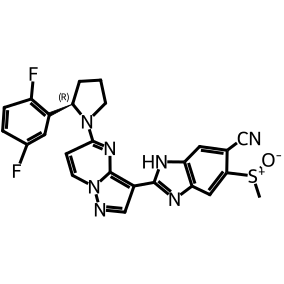 C[S+]([O-])c1cc2nc(-c3cnn4ccc(N5CCC[C@@H]5c5cc(F)ccc5F)nc34)[nH]c2cc1C#N